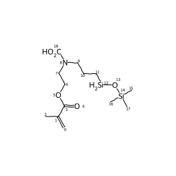 C=C(C)C(=O)OCCN(CCC[SiH2]O[Si](C)(C)C)C(=O)O